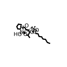 CCCCCCCCS(=O)(=O)N(C)C[C@H](CC(C)C)[C@H](C(=O)NO)C(=O)N1CCCCC1